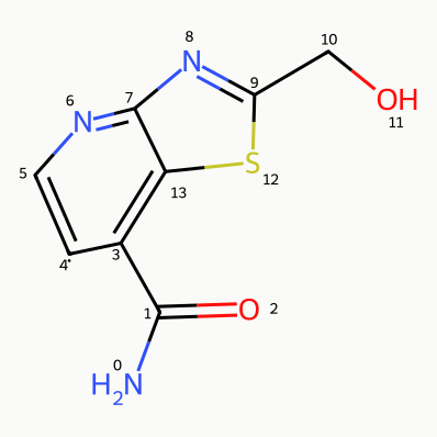 NC(=O)c1[c]cnc2nc(CO)sc12